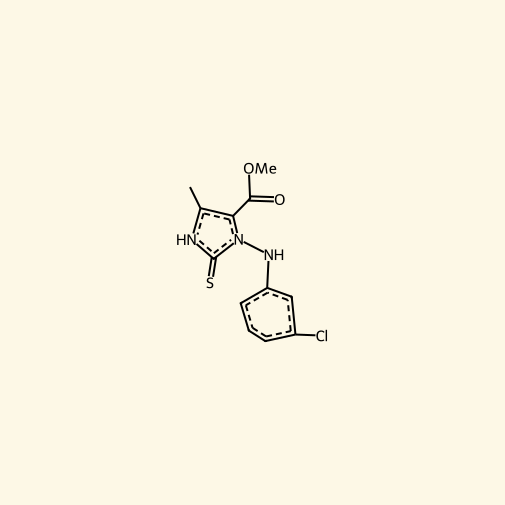 COC(=O)c1c(C)[nH]c(=S)n1Nc1cccc(Cl)c1